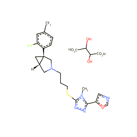 Cn1c(SCCCN2C[C@@H]3C[C@]3(c3ccc(C(F)(F)F)cc3F)C2)nnc1-c1cnco1.O=C(O)C(O)C(O)C(=O)O